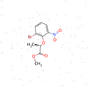 COC(=O)[C@@H](C)Oc1c(Br)cccc1[N+](=O)[O-]